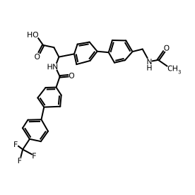 CC(=O)NCc1ccc(-c2ccc(C(CC(=O)O)NC(=O)c3ccc(-c4ccc(C(F)(F)F)cc4)cc3)cc2)cc1